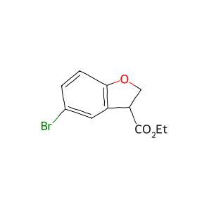 CCOC(=O)C1COc2ccc(Br)cc21